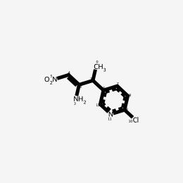 CC(C(N)=C[N+](=O)[O-])c1ccc(Cl)nc1